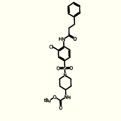 CC(C)(C)OC(=O)NC1CCN(S(=O)(=O)c2ccc(NC(=O)CCc3ccccc3)c(Cl)c2)CC1